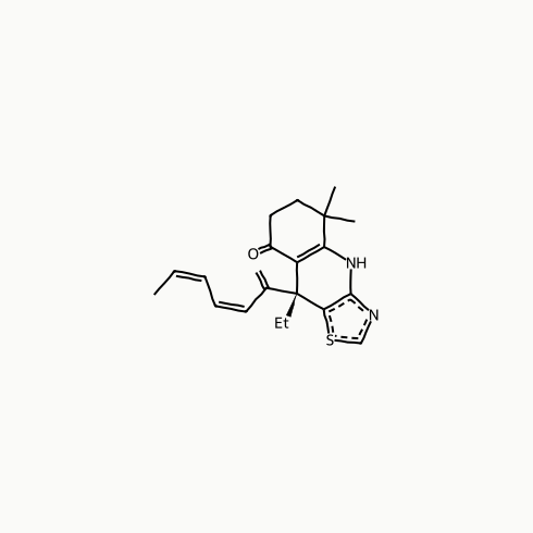 C=C(/C=C\C=C/C)[C@]1(CC)C2=C(Nc3ncsc31)C(C)(C)CCC2=O